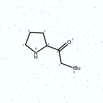 CC(C)(C)CC(=O)C1CCCN1